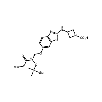 CC(C)(C)OC(=O)[C@@H](COc1ccc2nc(NC3CN(C(=O)O)C3)sc2c1)O[Si](C)(C)C(C)(C)C